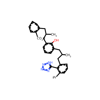 CC(Cc1ccccc1C(=O)O)Cc1cccc(CC(C)Cc2cccc(C(C)C)c2-c2nnn[nH]2)c1O